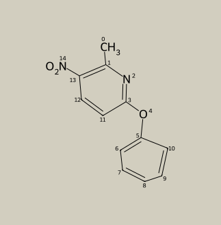 Cc1nc(Oc2ccccc2)ccc1[N+](=O)[O-]